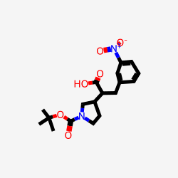 CC(C)(C)OC(=O)N1CCC(C(Cc2cccc([N+](=O)[O-])c2)C(=O)O)C1